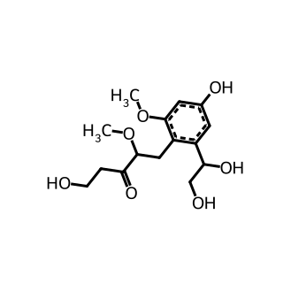 COc1cc(O)cc(C(O)CO)c1CC(OC)C(=O)CCO